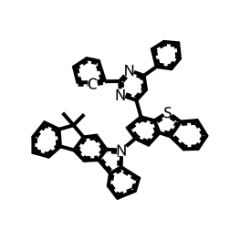 CC1(C)c2ccccc2-c2cc3c4ccccc4n(-c4cc(-c5cc(-c6ccccc6)nc(-c6ccccc6)n5)c5sc6ccccc6c5c4)c3cc21